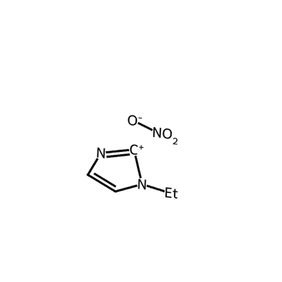 CCN1[C+]=NC=C1.O=[N+]([O-])[O-]